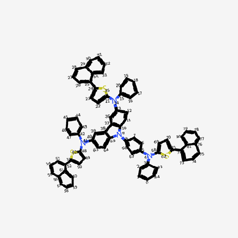 c1ccc(N(c2ccc(-n3c4ccc(N(c5ccccc5)c5ccc(-c6cccc7ccccc67)s5)cc4c4cc(N(c5ccccc5)c5ccc(-c6cccc7ccccc67)s5)ccc43)cc2)c2ccc(-c3cccc4ccccc34)s2)cc1